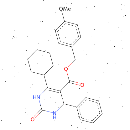 COc1ccc(COC(=O)C2=C(C3CCCCC3)NC(=O)NC2c2ccccc2)cc1